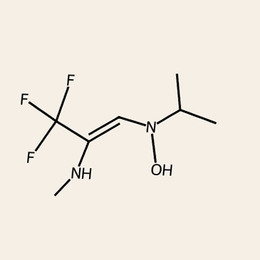 CN/C(=C\N(O)C(C)C)C(F)(F)F